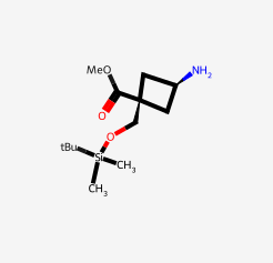 COC(=O)[C@]1(CO[Si](C)(C)C(C)(C)C)C[C@@H](N)C1